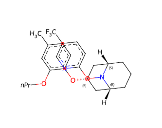 CCCOc1cc(C)ccc1O[C@H]1C[C@H]2CCC[C@@H](C1)N2Oc1ccc(C(F)(F)F)cn1